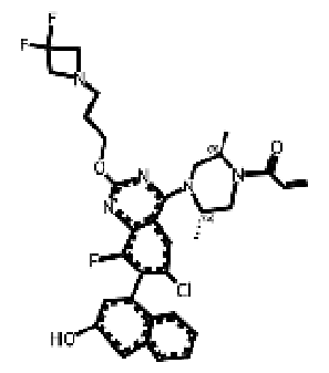 C=CC(=O)N1C[C@H](C)N(c2nc(OCCCN3CC(F)(F)C3)nc3c(F)c(-c4cc(O)cc5ccccc45)c(Cl)cc23)C[C@H]1C